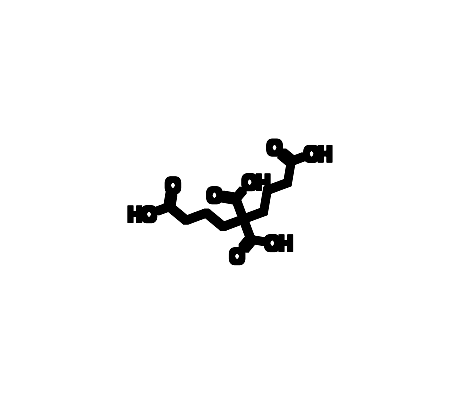 O=C(O)CCCC(CCCC(=O)O)(C(=O)O)C(=O)O